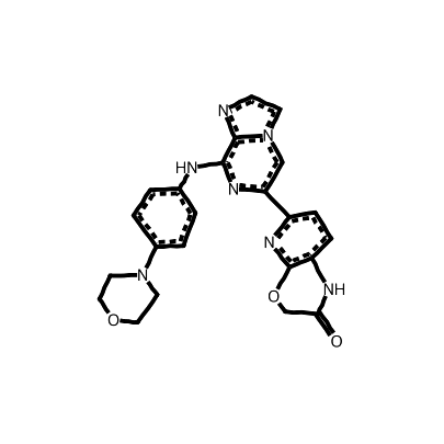 O=C1COc2nc(-c3cn4ccnc4c(Nc4ccc(N5CCOCC5)cc4)n3)ccc2N1